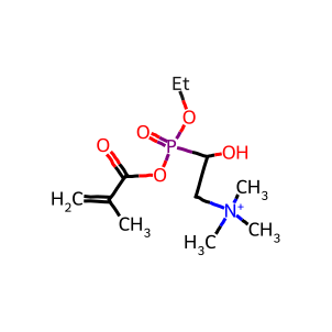 C=C(C)C(=O)OP(=O)(OCC)C(O)C[N+](C)(C)C